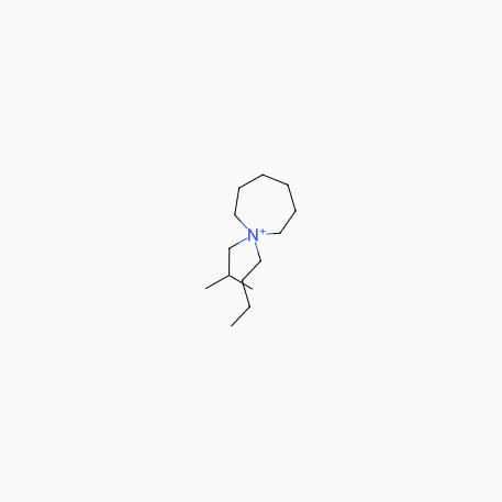 CCCC[N+]1(CC(C)C)CCCCCC1